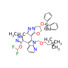 Cc1nn2c(c1-c1c(-c3cn(C)nc3OC(F)F)c3cccnc3n1COCC[Si](C)(C)C)OCC(O[Si](c1ccccc1)(c1ccccc1)C(C)(C)C)C2